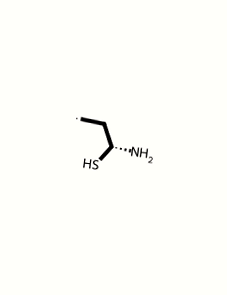 [CH2]C[C@H](N)S